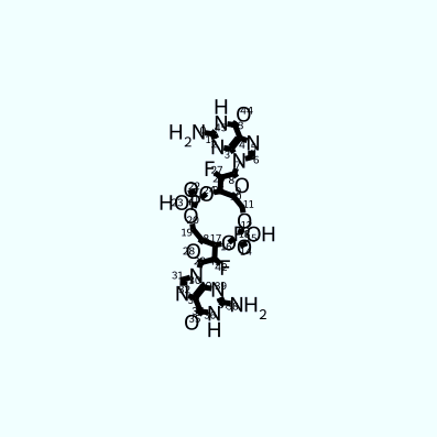 Nc1nc2c(ncn2C2OC3COP(=O)(O)OC4C(COP(=O)(O)OC3C2F)OC(n2cnc3c(=O)[nH]c(N)nc32)C4F)c(=O)[nH]1